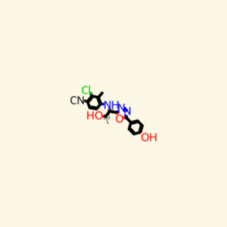 [C-]#[N+]c1ccc(N[C@@H](c2nnc(-c3ccc(O)cc3)o2)[C@H](C)O)c(C)c1Cl